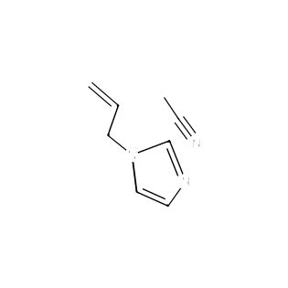 C=CCn1ccnc1.N#CS